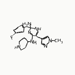 Cn1cc(C2=CNC(N)(c3cccc(F)c3)N=C2NC2CCNCC2)cn1